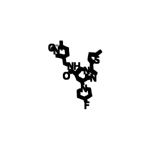 Cc1ccc(-c2cnc3c(N4CCC(F)CC4)cc(C(=O)NCc4ccc(C)[n+]([O-])c4)cn23)s1